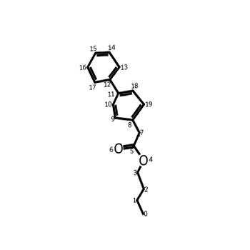 CCCCOC(=O)[CH]c1ccc(-c2ccccc2)cc1